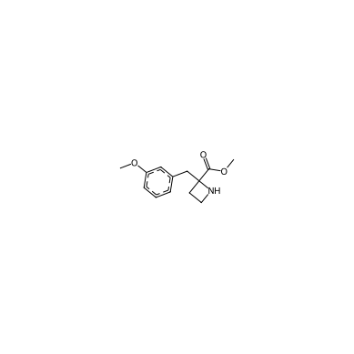 COC(=O)C1(Cc2cccc(OC)c2)CCN1